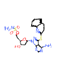 Nc1ncnc2c1c(Sc1ccc3ccccc3n1)nn2[C@H]1C[C@H](O)[C@@H](COS(N)(=O)=O)O1